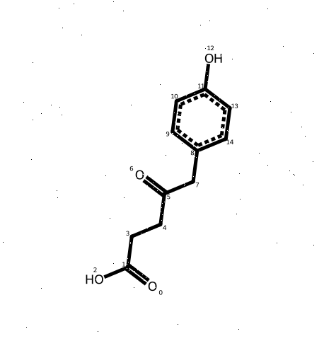 O=C(O)CCC(=O)Cc1ccc(O)cc1